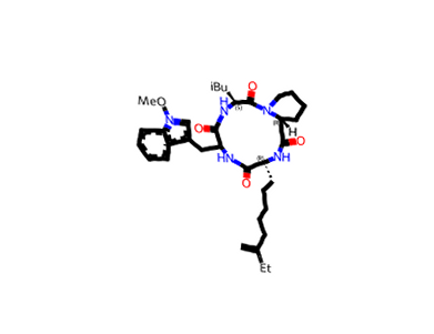 C=C(CC)CCCCC[C@H]1NC(=O)[C@H]2CCCCN2C(=O)[C@H](C(C)CC)NC(=O)C(Cc2cn(OC)c3ccccc23)NC1=O